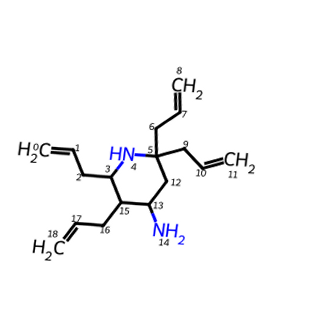 C=CCC1NC(CC=C)(CC=C)CC(N)C1CC=C